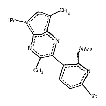 CNc1nc(C(C)C)ccc1-c1nc2c(C)cn(C(C)C)c2nc1C